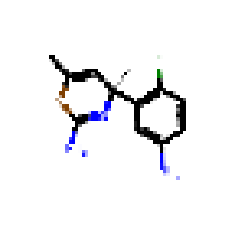 CC1=C[C@@](C)(c2cc(N)ccc2F)N=C(N)S1